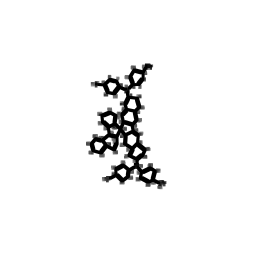 CC(C)c1ccc(N(c2ccc(F)cc2)c2ccc3cc4c(cc3c2)C2(c3cc5cc(N(c6ccc(F)cc6)c6ccc(C(C)C)cc6)ccc5cc3-4)c3ccccc3-c3c2ccc2ccccc32)cc1